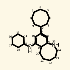 C1=C(C2CCCCCCC2)C=C(NC2CCCCC2)C2CCCCCNC12